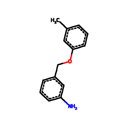 Cc1cccc(OCc2cccc(N)c2)c1